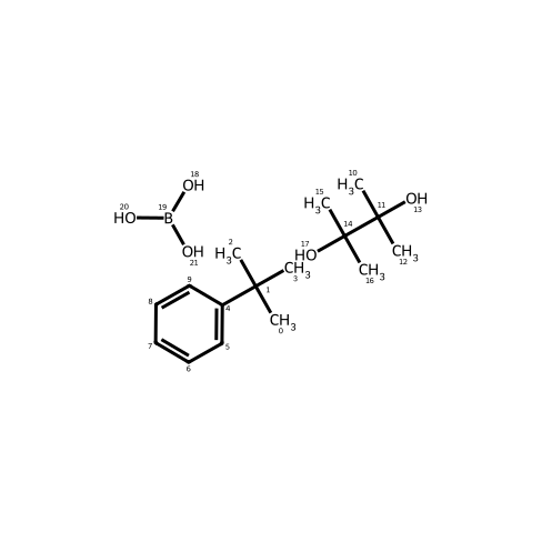 CC(C)(C)c1ccccc1.CC(C)(O)C(C)(C)O.OB(O)O